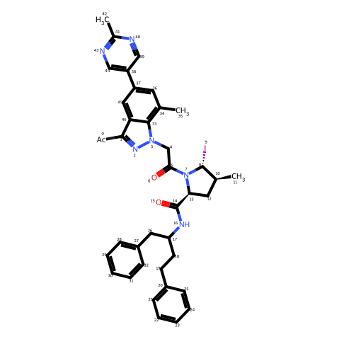 CC(=O)c1nn(CC(=O)N2[C@H](I)[C@@H](C)C[C@H]2C(=O)NC(CCc2ccccc2)Cc2ccccc2)c2c(C)cc(-c3cnc(C)nc3)cc12